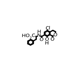 O=C(N[C@@H](Cc1ccccc1)C(=O)O)c1cc(Cl)c2c(c1O)C(=O)OCC2